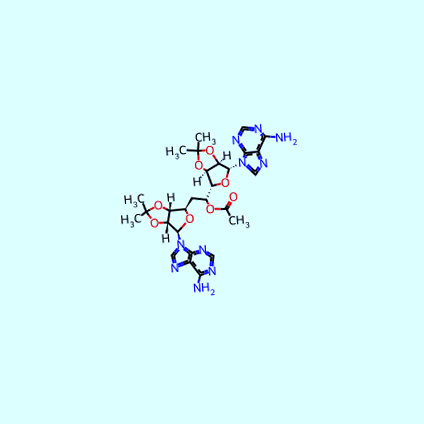 CC(=O)OC(C[C@H]1O[C@@H](n2cnc3c(N)ncnc32)[C@@H]2OC(C)(C)O[C@@H]21)[C@H]1O[C@@H](n2cnc3c(N)ncnc32)[C@@H]2OC(C)(C)O[C@@H]21